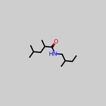 CCC(C)CNC(=O)C(C)CC(C)C